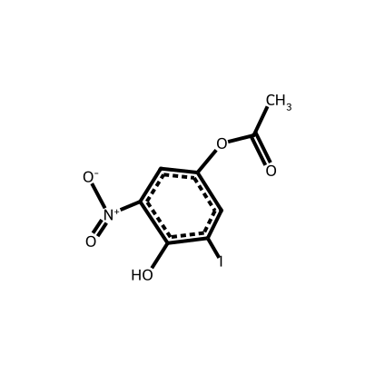 CC(=O)Oc1cc(I)c(O)c([N+](=O)[O-])c1